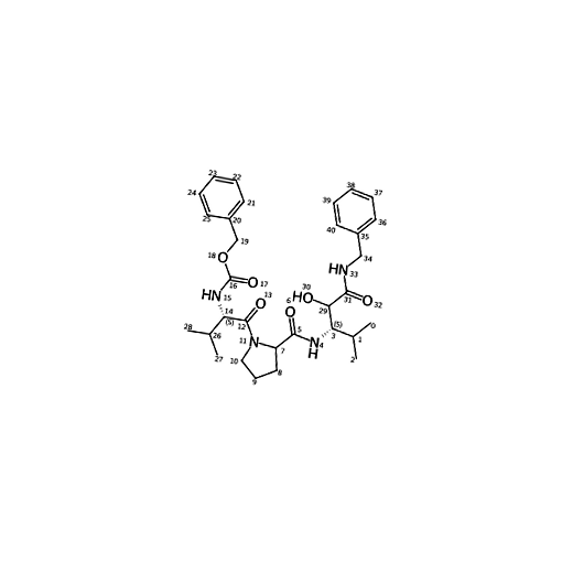 CC(C)[C@H](NC(=O)C1CCCN1C(=O)[C@@H](NC(=O)OCc1ccccc1)C(C)C)C(O)C(=O)NCc1ccccc1